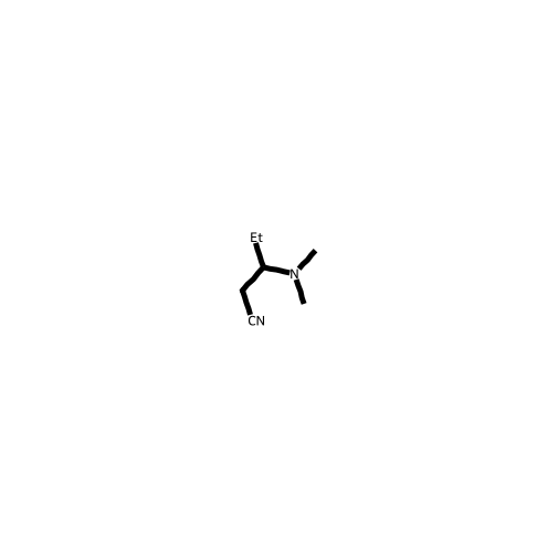 CCC(CC#N)N(C)C